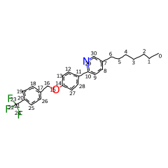 CCCCCCCc1ccc(-c2ccc(OCc3ccc(C(F)(F)F)cc3)cc2)nc1